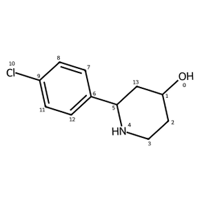 OC1CCNC(c2ccc(Cl)cc2)C1